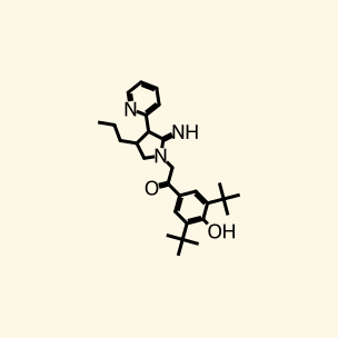 CCCC1CN(CC(=O)c2cc(C(C)(C)C)c(O)c(C(C)(C)C)c2)C(=N)C1c1ccccn1